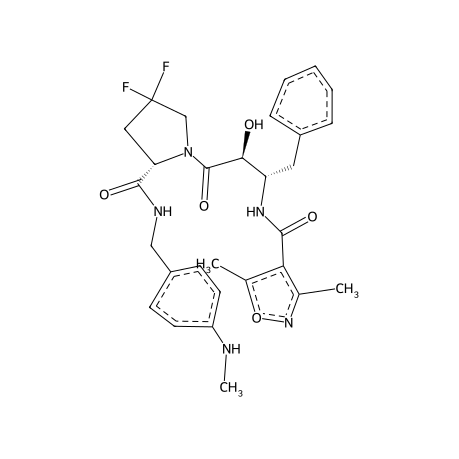 CNc1ccc(CNC(=O)[C@@H]2CC(F)(F)CN2C(=O)[C@@H](O)[C@H](Cc2ccccc2)NC(=O)c2c(C)noc2C)cc1